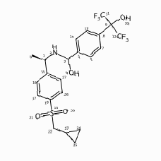 C[C@@H](NC(O)c1ccc(C(O)(C(F)(F)F)C(F)(F)F)cc1)c1ccc(S(=O)(=O)CC2CC2)cc1